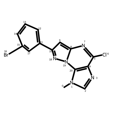 Cn1cnc2c(Cl)nc3cc(-c4cccc(Br)c4)nn3c21